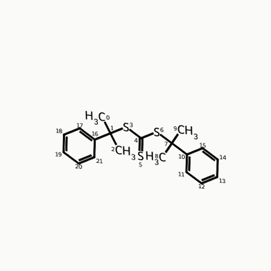 CC(C)(SC(=S)SC(C)(C)c1ccccc1)c1ccccc1